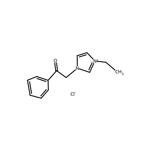 CC[n+]1ccn(CC(=O)c2ccccc2)c1.[Cl-]